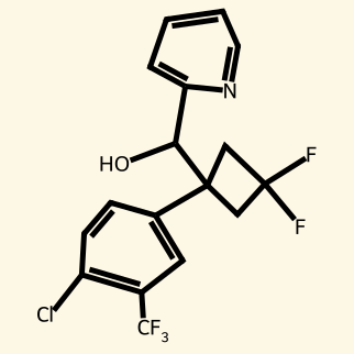 OC(c1ccccn1)C1(c2ccc(Cl)c(C(F)(F)F)c2)CC(F)(F)C1